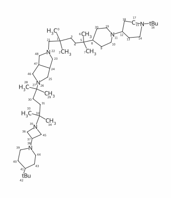 CC(C)(CCC(C)(C)C1CCN(C2CCN(C(C)(C)C)CC2)CC1)CN1CC2CN(C(C)(C)CCC(C)(C)N3CC(N4CCC(C(C)(C)C)CC4)C3)CC2C1